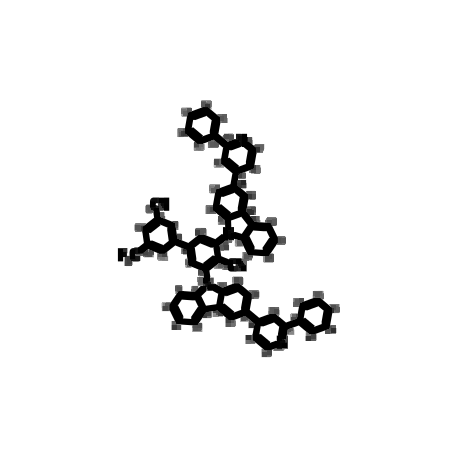 N#Cc1cc(-c2cc(-n3c4ccccc4c4cc(-c5ccnc(-c6ccccc6)c5)ccc43)c(C#N)c(-n3c4ccccc4c4cc(-c5ccnc(-c6ccccc6)c5)ccc43)c2)cc(C(F)(F)F)c1